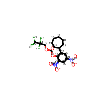 O=C(OCC(F)(F)C(F)F)Oc1c(C2CCCCCC2)cc([N+](=O)[O-])cc1[N+](=O)[O-]